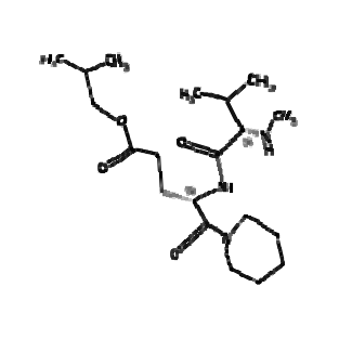 CN[C@H](C(=O)N[C@@H](CCC(=O)OCC(C)C)C(=O)N1CCCCC1)C(C)C